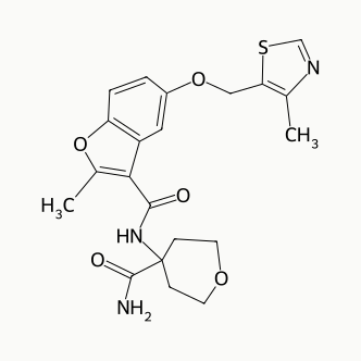 Cc1ncsc1COc1ccc2oc(C)c(C(=O)NC3(C(N)=O)CCOCC3)c2c1